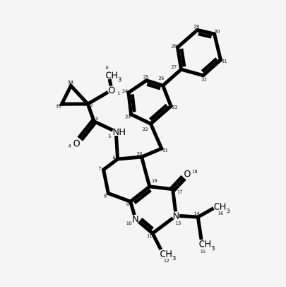 COC1(C(=O)NC2CCc3nc(C)n(C(C)C)c(=O)c3C2Cc2cccc(-c3ccccc3)c2)CC1